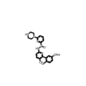 COc1ccc(Cl)c(-c2nc(N[S+]([O-])c3cccc(N4CCNCC4)n3)ccc2C(F)(F)F)c1